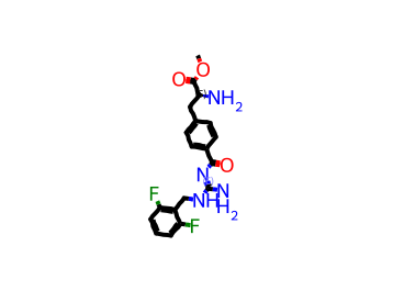 COC(=O)[C@@H](N)Cc1ccc(C(=O)/N=C(\N)NCc2c(F)cccc2F)cc1